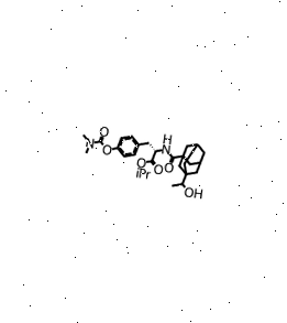 CC(C)OC(=O)[C@H](Cc1ccc(OC(=O)N(C)C)cc1)NC(=O)C12CC3CC(C1)CC(C(C)O)(C3)C2